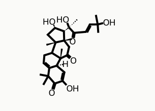 CC(C)(O)/C=C/C(=O)[C@](C)(O)[C@H]1[C@@H](O)C[C@@]2(C)C3CC=C4[C@H](C=C(O)C(=O)C4(C)C)[C@@]3(C)C(=O)C[C@@]12C